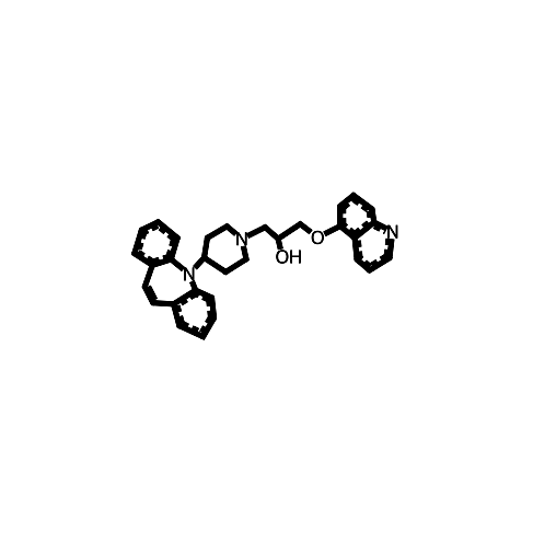 OC(COc1cccc2ncccc12)CN1CCC(N2c3ccccc3C=Cc3ccccc32)CC1